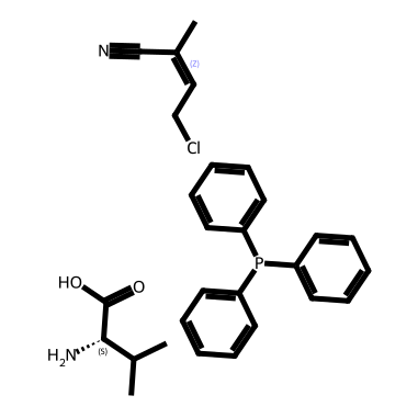 C/C(C#N)=C/CCl.CC(C)[C@H](N)C(=O)O.c1ccc(P(c2ccccc2)c2ccccc2)cc1